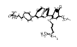 COc1cc(OCCCN(C)C)c(-c2cn3ccc(N4CCN(CCO[PH](=O)O)CC4)cc3n2)cc1Cl